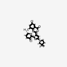 Cc1cc(Cl)cc2c(=O)oc(-c3cc(N4CCC(F)(F)C4)nn3-c3ncccc3Cl)nc12